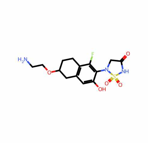 NCCOC1CCc2c(cc(O)c(N3CC(=O)NS3(=O)=O)c2F)C1